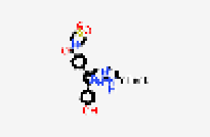 C=N/C(=N\n1c(C)c([C@H]2CC[C@@H](C(=O)N3CCS(=O)(=O)CC3)CC2)cc1[C@H]1CC[C@H](O)CC1)N[C@@H](C)CCCCC